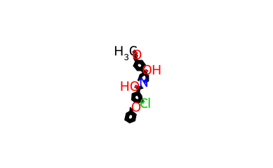 COCc1ccc(C2(O)CCN(CC(O)c3ccc(OCc4ccccc4)c(Cl)c3)CC2)cc1